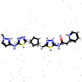 Cn1ccc(Nc2nnc([C@@H]3CC[C@H](Cc4nnc(NC(=O)Cc5ccccn5)s4)C3)s2)n1